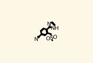 CS(=O)(=O)Cc1cc(C#N)ccc1-c1ncc[nH]1